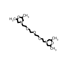 CC1CN(CCOCCOCCOCCN2CC(C)OC(C)C2)CC(C)O1